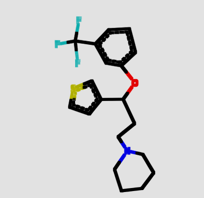 FC(F)(F)c1cccc(OC(CCN2CCCCC2)c2ccsc2)c1